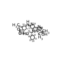 CC1OB(O)c2ccc(Nc3cc(N[C@H](CO)c4ccccc4)c(-c4nnc(C(C)(C)O)o4)cn3)cc21